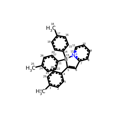 Cc1ccc(C2=Cc3cccc[n+]3[B-]2(c2ccc(C)cc2)c2ccc(C)cc2)cc1